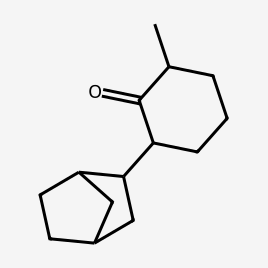 CC1CCCC(C2CC3CCC2C3)C1=O